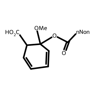 CCCCCCCCCC(=O)OC1(OC)C=CC=CC1C(=O)O